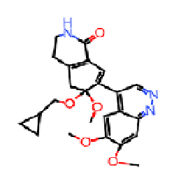 COc1cc2nncc(C3=CC4=C(CCNC4=O)CC3(OC)OCC3CC3)c2cc1OC